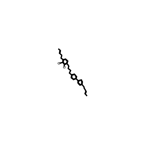 C/C=C/CCc1ccc(-c2ccc(CCCCc3ccc(CC/C=C/C)c(Cl)c3Cl)cc2)cc1